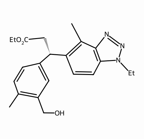 CCOC(=O)C[C@@H](c1ccc(C)c(CO)c1)c1ccc2c(nnn2CC)c1C